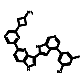 NC1CN(c2cncc(-c3ccc4[nH]nc(-c5cc6c(-c7cc(O)cc(F)c7)cncc6[nH]5)c4n3)n2)C1